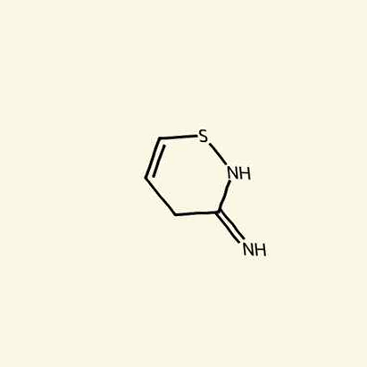 N=C1CC=CSN1